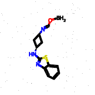 BOC=N[C@H]1C[C@H](Nc2nc3ccccc3s2)C1